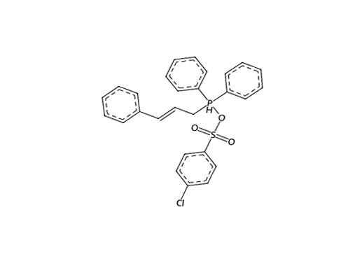 O=S(=O)(O[PH](CC=Cc1ccccc1)(c1ccccc1)c1ccccc1)c1ccc(Cl)cc1